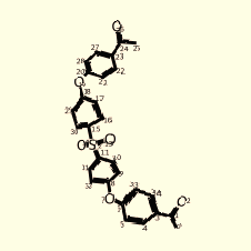 CC(=O)c1ccc(Oc2ccc(S(=O)(=O)c3ccc(Oc4ccc(C(C)=O)cc4)cc3)cc2)cc1